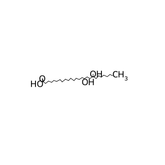 CCCCCCCCC(O)CCC(O)CCCCCCCCCCCCCCC(=O)O